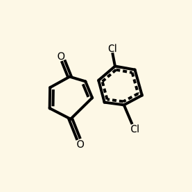 Clc1ccc(Cl)cc1.O=C1C=CC(=O)C=C1